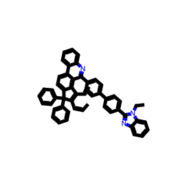 C=CC1=C(/C=C\C)C(c2ccccc2)(c2ccccc2)c2ccc3c(c(-c4ccc(-c5ccc(-c6nc7ccccc7n6CC)cc5)cc4)nc4ccccc43)c21